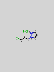 Cl.ClCCCn1cccn1